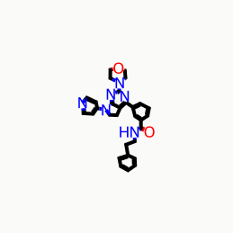 O=C(NCCc1ccccc1)c1cccc(-c2nc(N3CCOCC3)nc3c2CCN3c2ccncc2)c1